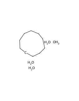 C1CCCCCCCCC1.O.O.O.O